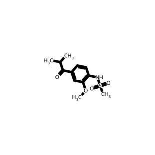 COc1cc(C(=O)C(C)C)ccc1NS(C)(=O)=O